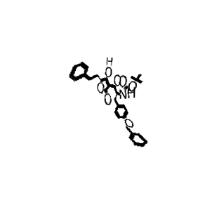 CC(C)(C)OC(=O)N[C@@H](Cc1ccc(OCc2ccccc2)cc1)C(=O)C1=C(O)[C@H](CCc2ccccc2)OC1=O